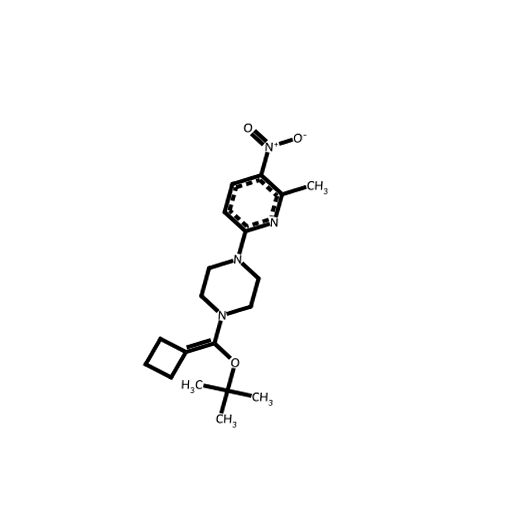 Cc1nc(N2CCN(C(OC(C)(C)C)=C3CCC3)CC2)ccc1[N+](=O)[O-]